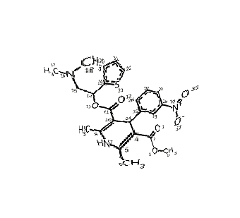 COC(=O)C1=C(C)NC(C)=C(C(=O)OC(CN(C)C)c2cccs2)C1c1cccc([N+](=O)[O-])c1